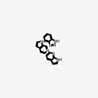 c1cc2cc[nH]c2cn1.c1ccc2[nH]nnc2c1.c1cnc2[nH]ccc2c1